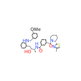 COc1cccc(CNc2ccccc2C[C@@H](O)[C@H](C)NC(=O)c2cccc(C(=O)N3CCCC[C@@H]3c3nc(C)cs3)c2)c1